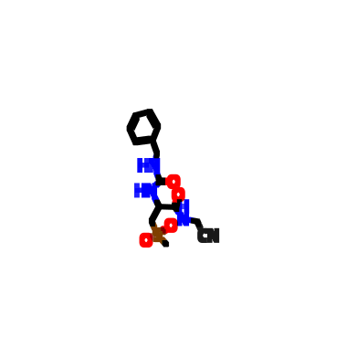 CS(=O)(=O)CC(NC(=O)NCc1ccccc1)C(=O)NCC#N